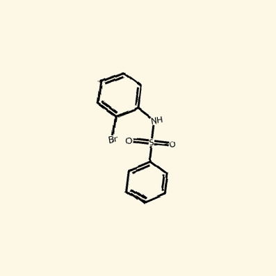 O=S(=O)(Nc1cc[c]cc1Br)c1ccccc1